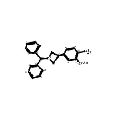 COc1cc(C2CN(C(c3ccccc3)c3ccccc3)C2)ccc1N